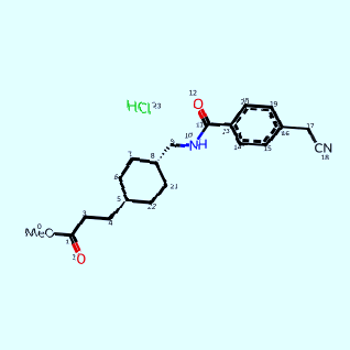 COC(=O)CC[C@H]1CC[C@H](CNC(=O)c2ccc(CC#N)cc2)CC1.Cl